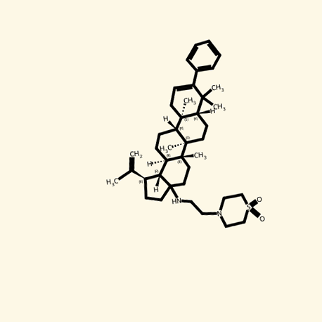 C=C(C)[C@@H]1CCC2(NCCN3CCS(=O)(=O)CC3)CC[C@]3(C)[C@H](CC[C@@H]4[C@@]5(C)CC=C(c6ccccc6)C(C)(C)[C@@H]5CC[C@]43C)[C@@H]12